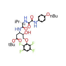 CCCCOc1ccc(NC(=O)C(=O)N[C@H](C(=O)NC(CC(=O)OC(C)(C)C)C(O)COc2c(F)c(F)cc(F)c2F)C(C)C)cc1